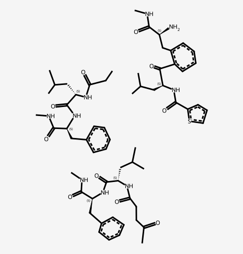 CCC(=O)N[C@@H](CC(C)C)C(=O)N[C@@H](Cc1ccccc1)C(=O)NC.CNC(=O)[C@@H](N)Cc1ccccc1C(=O)[C@H](CC(C)C)NC(=O)c1cccs1.CNC(=O)[C@H](Cc1ccccc1)NC(=O)[C@H](CC(C)C)NC(=O)CCC(C)=O